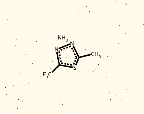 Cc1nnc(C(F)(F)F)s1.N